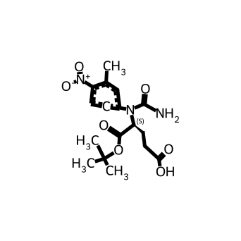 Cc1cc(N(C(N)=O)[C@@H](CCC(=O)O)C(=O)OC(C)(C)C)ccc1[N+](=O)[O-]